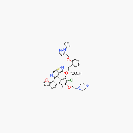 CC1=C(c2c(-c3cccc4ccoc34)ncc3snc(O[C@H](Cc4ccccc4OCc4ccnn4CC(F)(F)F)C(=O)O)c23)CC(C)C(OCCN2CCN(C)CC2)=C1Cl